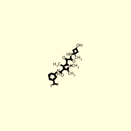 Cc1c(C(=O)Nc2cccc(C(F)F)c2)c(C)n(C)c1C(=O)C(=O)N[C@]1(C)C[C@@H](O)C1